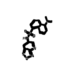 CN(C)c1cccc2c(S(=O)(=O)Nc3cnc4nonc4c3)cccc12